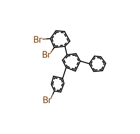 Brc1ccc(-c2cc(-c3ccccc3)cc(-c3cccc(Br)c3Br)c2)cc1